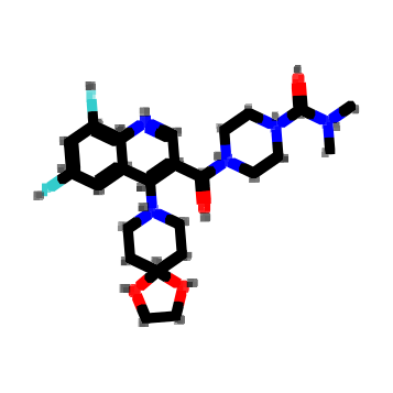 CN(C)C(=O)N1CCN(C(=O)c2cnc3c(F)cc(F)cc3c2N2CCC3(CC2)OCCO3)CC1